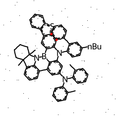 CCCCc1ccc(N2c3cc4sc5ccccc5c4cc3B3c4c(cc(N(c5ccccc5C)c5ccccc5C)cc42)-c2cccc4c2N3C2(C)CCCCC42C)c(-c2ccccc2)c1